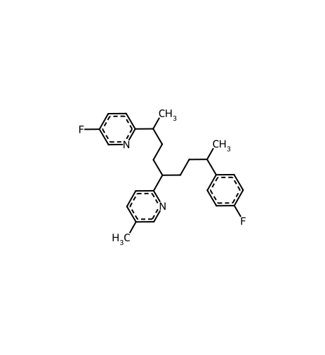 Cc1ccc(C(CCC(C)c2ccc(F)cc2)CCC(C)c2ccc(F)cn2)nc1